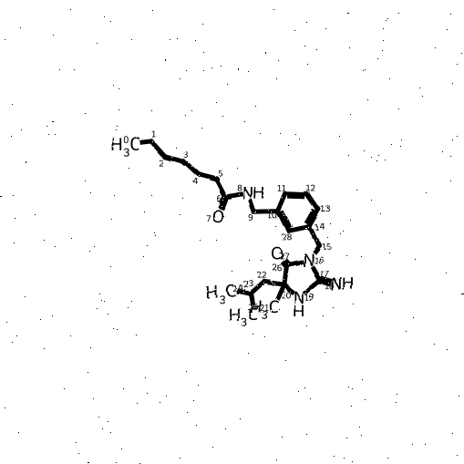 CCCCCCC(=O)NCc1cccc(CN2C(=N)NC(C)(CC(C)C)C2=O)c1